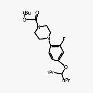 CCCC(CCC)Oc1ccc(N2CCN(C(=O)OC(C)(C)C)CC2)c(F)c1